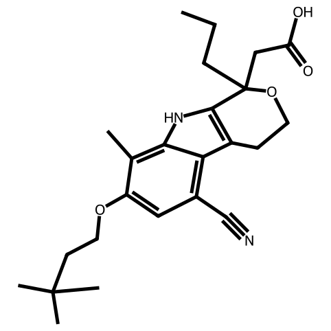 CCCC1(CC(=O)O)OCCc2c1[nH]c1c(C)c(OCCC(C)(C)C)cc(C#N)c21